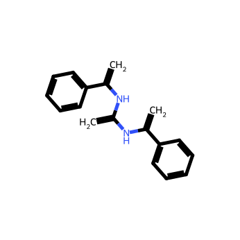 C=C(NC(=C)c1ccccc1)NC(=C)c1ccccc1